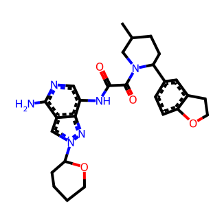 CC1CCC(c2ccc3c(c2)CCO3)N(C(=O)C(=O)Nc2cnc(N)c3cn(C4CCCCO4)nc23)C1